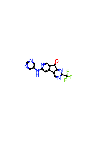 O=C1c2cnc(Nc3cncnc3)cc2-c2cnc(C(F)(F)F)nc21